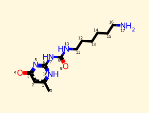 Cc1cc(=O)nc(NC(=O)NCCCCCCN)[nH]1